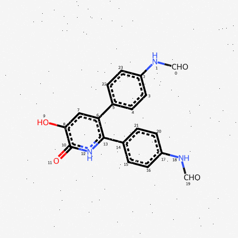 O=CNc1ccc(-c2cc(O)c(=O)[nH]c2-c2ccc(NC=O)cc2)cc1